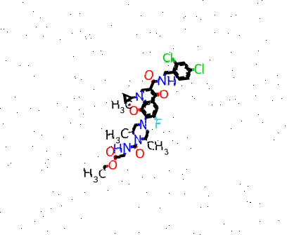 CCOC(=O)CNC(=O)N1[C@H](C)CN(c2c(F)cc3c(=O)c(C(=O)NCc4ccc(Cl)cc4Cl)cn(C4CC4)c3c2OC)C[C@@H]1C